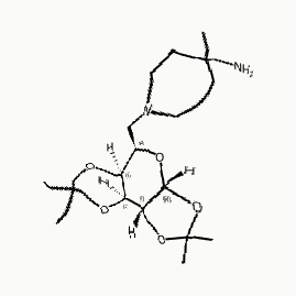 CC1(N)CCN(C[C@H]2O[C@@H]3OC(C)(C)O[C@@H]3[C@H]3OC(C)(C)O[C@H]32)CC1